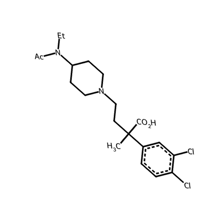 CCN(C(C)=O)C1CCN(CCC(C)(C(=O)O)c2ccc(Cl)c(Cl)c2)CC1